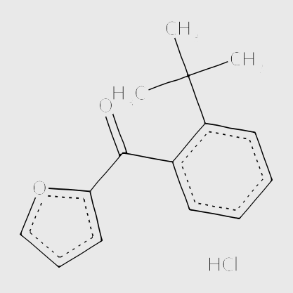 CC(C)(C)c1ccccc1C(=O)c1ccco1.Cl